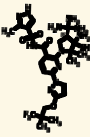 Cc1n[nH]cc1S(=O)(=O)NC(=O)c1ccc(-n2ccc(OCC(C)(C)C(F)(F)F)n2)nc1N1C[C@@H](C(N)(N)N)C(N)(S)C1(C)C